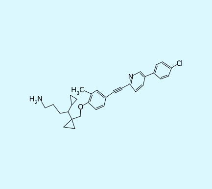 Cc1cc(C#Cc2ccc(-c3ccc(Cl)cc3)cn2)ccc1OCC1(C(CCCN)C2CC2)CC1